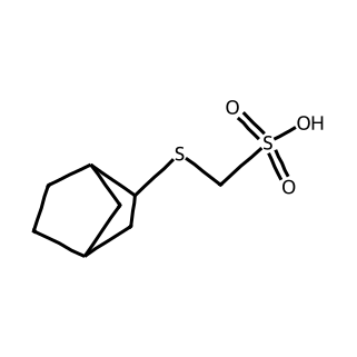 O=S(=O)(O)CSC1CC2CCC1C2